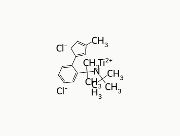 CC1=CCC(c2ccccc2C(C)(C)[N]([Ti+2])C(C)(C)C)=C1.[Cl-].[Cl-]